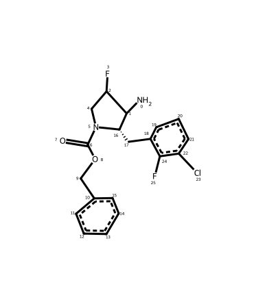 NC1C(F)CN(C(=O)OCc2ccccc2)[C@H]1Cc1cccc(Cl)c1F